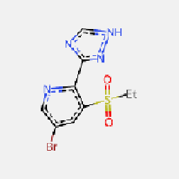 CCS(=O)(=O)c1cc(Br)cnc1-c1nc[nH]n1